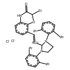 CCC1Oc2c(/[CH]=[Ru+2]/[CH]3N(c4c(C(C)C)cccc4C(C)C)CCN3c3c(C(C)C)cccc3C(C)C)cccc2NC1=O.[Cl-].[Cl-]